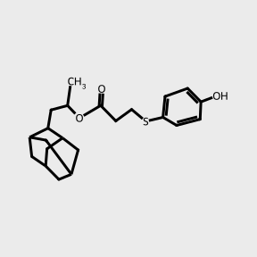 CC(CC1C2CC3CC(C2)CC1C3)OC(=O)CCSc1ccc(O)cc1